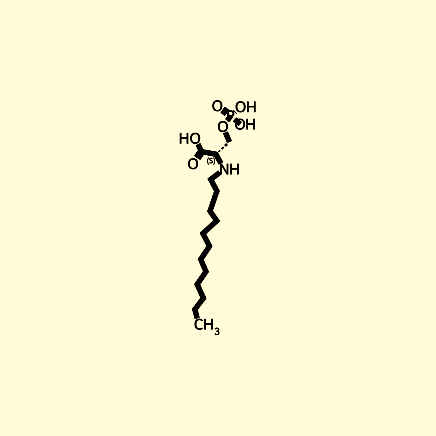 CCCCCCCCCCCCN[C@@H](COP(=O)(O)O)C(=O)O